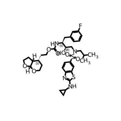 CC(C)CN(C[C@@H](O)[C@H](Cc1cccc(F)c1)NC(=O)OCC[C@@H]1CCO[C@@H]2OCC[C@H]12)S(=O)(=O)c1ccc2nc(NC3CC3)sc2c1